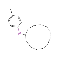 Cc1ccc([P]C2CCCCCCCCCCC2)cc1